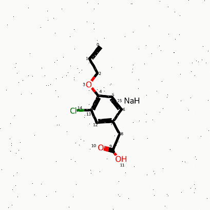 C=CCOc1ccc(CC(=O)O)cc1Cl.[NaH]